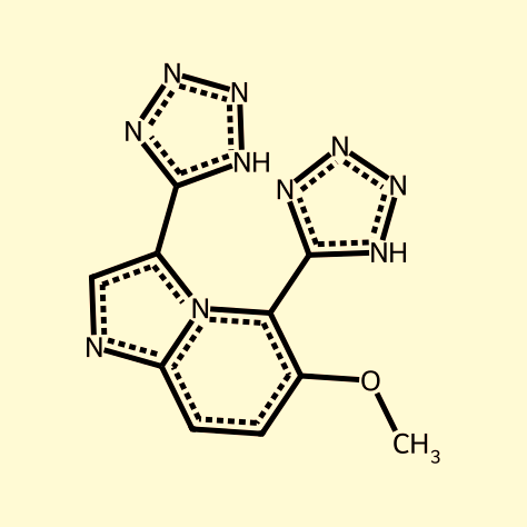 COc1ccc2ncc(-c3nnn[nH]3)n2c1-c1nnn[nH]1